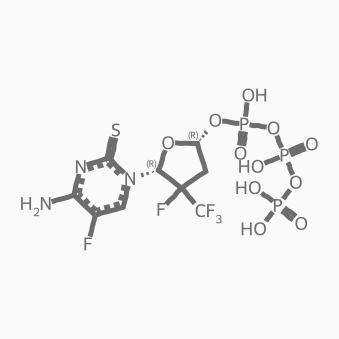 Nc1nc(=S)n([C@@H]2O[C@H](OP(=O)(O)OP(=O)(O)OP(=O)(O)O)CC2(F)C(F)(F)F)cc1F